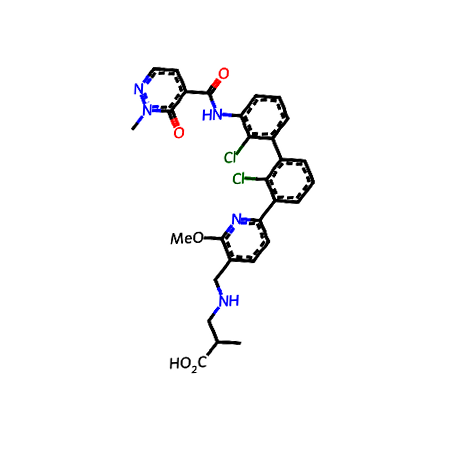 COc1nc(-c2cccc(-c3cccc(NC(=O)c4ccnn(C)c4=O)c3Cl)c2Cl)ccc1CNCC(C)C(=O)O